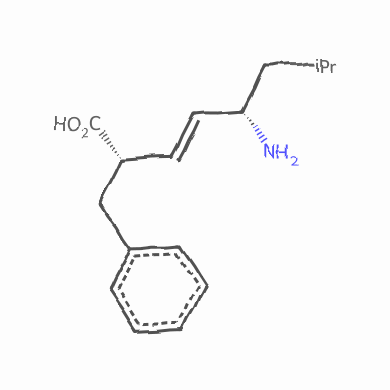 CC(C)C[C@H](N)/C=C/[C@H](Cc1ccccc1)C(=O)O